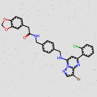 O=C(Cc1ccc2c(c1)OCO2)NCc1ccc(CNc2cc(-c3ccccc3Cl)nc3c(Br)cnn23)cc1